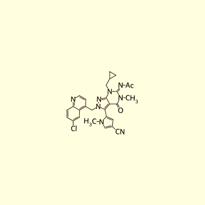 CC(=O)N=c1n(C)c(=O)c2c(-c3cc(C#N)cn3C)n(Cc3ccnc4ccc(Cl)cc34)nc2n1CC1CC1